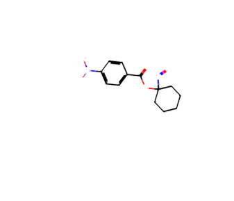 O=NC1(OC(=O)c2ccc(N(O)O)cc2)CCCCC1